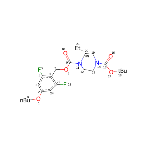 CCCCOc1cc(F)c(COC(=O)N2CCN(C(=O)OC(C)(C)C)C[C@H]2CC)c(F)c1